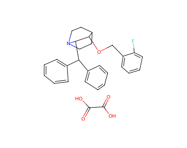 Fc1ccccc1COC1C2CCN(CC2)C1C(c1ccccc1)c1ccccc1.O=C(O)C(=O)O